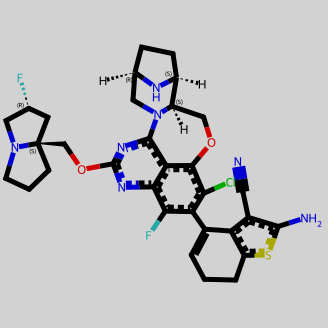 N#Cc1c(N)sc2c1C(c1c(Cl)c3c4c(nc(OC[C@@]56CCCN5C[C@H](F)C6)nc4c1F)N1C[C@H]4CC[C@H](N4)[C@H]1CO3)=CCC2